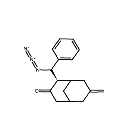 C=C1CC2CC(=O)[C@@H](C(N=[N+]=[N-])c3ccccc3)C(C1)C2